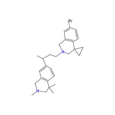 CC(C)c1ccc2c(c1)CN(CCC(C)c1ccc3c(c1)CN(C)CC3(C)C)CC21CC1